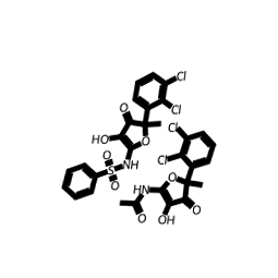 CC(=O)NC1=C(O)C(=O)C(C)(c2cccc(Cl)c2Cl)O1.CC1(c2cccc(Cl)c2Cl)OC(NS(=O)(=O)c2ccccc2)=C(O)C1=O